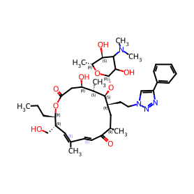 CCC[C@H]1OC(=O)C[C@@H](O)[C@H](C)[C@@H](O[C@@H]2O[C@H](C)[C@@H](O)C(N(C)C)C2O)[C@@H](CCn2cc(-c3ccccc3)nn2)C[C@@H](C)C(=O)/C=C/C(C)=C/[C@@H]1CO